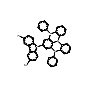 CC(C)c1ccc2c(c1)c1cc(C(C)(C)C)ccc1n2-c1cc2c3c(c1)N(c1ccccc1)c1ccccc1B3c1ccccc1N2c1ccccc1